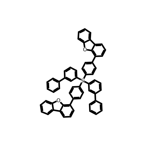 c1ccc(-c2cccc([Si](c3ccc(-c4cccc5c4oc4ccccc45)cc3)(c3ccc(-c4cccc5c4oc4ccccc45)cc3)c3cccc(-c4ccccc4)c3)c2)cc1